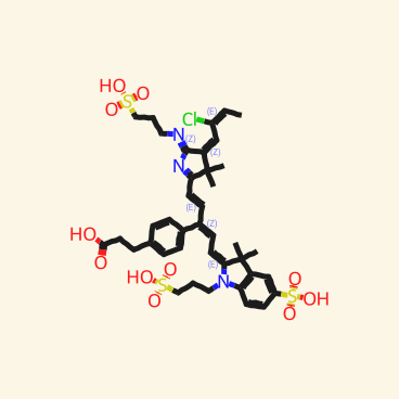 C\C=C(Cl)/C=C1\C(=N\CCCS(=O)(=O)O)N=C(/C=C/C(=C/C=C2/N(CCCS(=O)(=O)O)c3ccc(S(=O)(=O)O)cc3C2(C)C)c2ccc(CCC(=O)O)cc2)C1(C)C